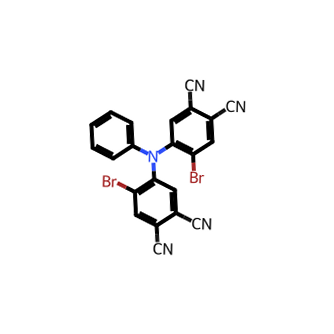 N#Cc1cc(Br)c(N(c2ccccc2)c2cc(C#N)c(C#N)cc2Br)cc1C#N